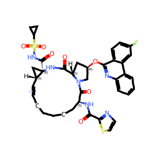 O=C(N[C@H]1CCCCC/C=C\[C@@H]2C[C@@]2(C(=O)NS(=O)(=O)C2CC2)NC(=O)[C@@H]2C[C@@H](Oc3nc4ccccc4c4cc(F)ccc34)CN2C1=O)c1nccs1